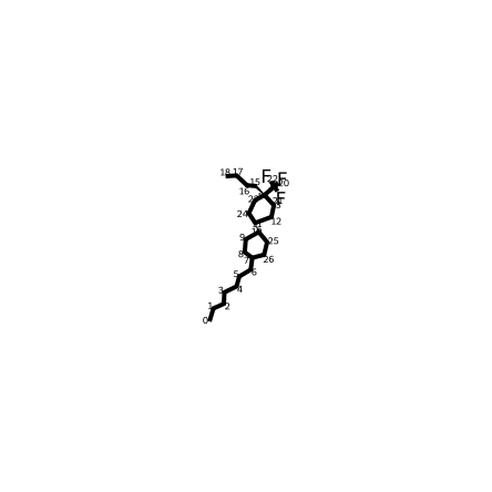 CCCCCCCC1CCC([C@H]2CC[C@@](CCCC)(C(F)(F)F)CC2)CC1